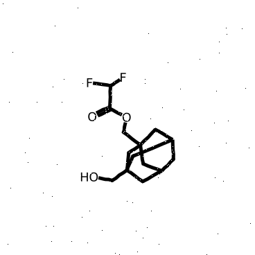 O=C(OCC12CC3CC(CC(CO)(C3)C1)C2)C(F)F